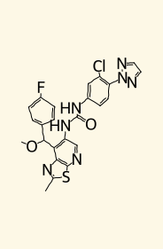 COC(c1ccc(F)cc1)c1c(NC(=O)Nc2ccc(-n3nccn3)c(Cl)c2)cnc2sc(C)nc12